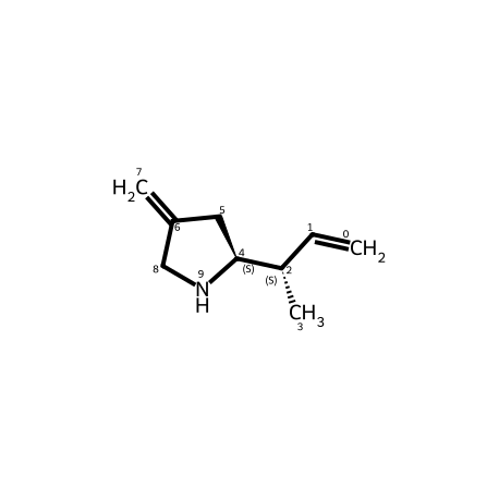 C=C[C@H](C)[C@@H]1CC(=C)CN1